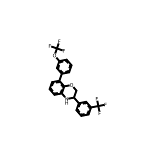 FC(F)(F)Oc1cccc(-c2cccc3c2OCC(c2cccc(C(F)(F)F)c2)N3)c1